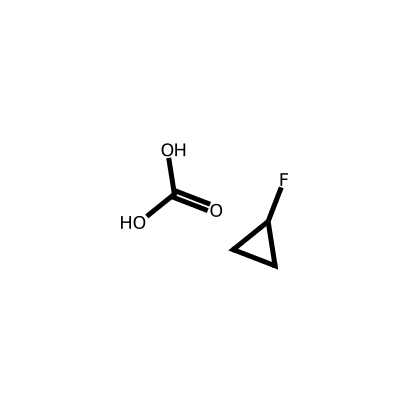 FC1CC1.O=C(O)O